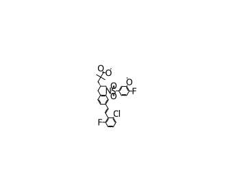 COC(=O)C(C)(C)C[C@@H]1Cc2ccc(/C=C/c3c(F)cccc3Cl)cc2N(S(=O)(=O)c2ccc(F)c(OC)c2)C1